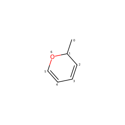 CC1C=CC=CO1